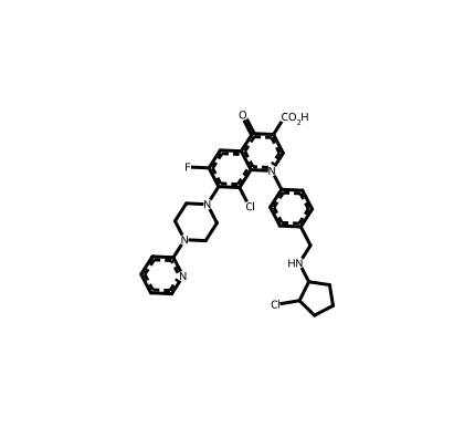 O=C(O)c1cn(-c2ccc(CNC3CCCC3Cl)cc2)c2c(Cl)c(N3CCN(c4ccccn4)CC3)c(F)cc2c1=O